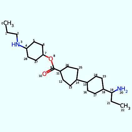 CCCNC1CCC(OC(=O)C2CCC(C3CCC(C(N)CC)CC3)CC2)CC1